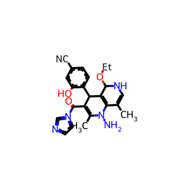 CCOC1NC=C(C)C2=C1C(c1ccc(C#N)cc1O)C(C(=O)n1ccnc1)=C(C)N2N